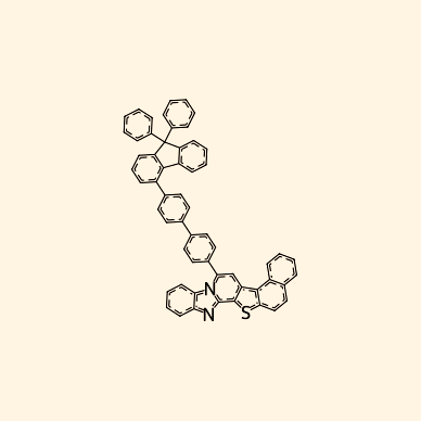 c1ccc(C2(c3ccccc3)c3ccccc3-c3c(-c4ccc(-c5ccc(-c6cc7c(sc8ccc9ccccc9c87)c7nc8ccccc8n67)cc5)cc4)cccc32)cc1